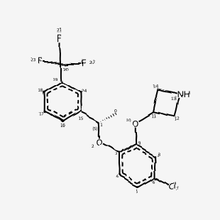 C[C@H](Oc1ccc(Cl)cc1OC1CNC1)c1cccc(C(F)(F)F)c1